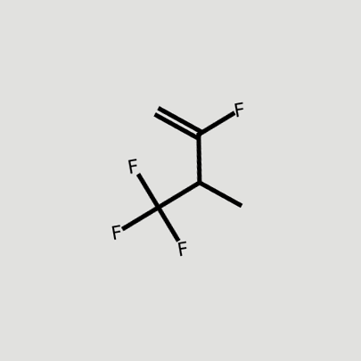 C=C(F)C(C)C(F)(F)F